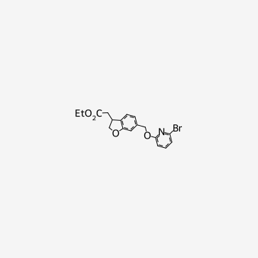 CCOC(=O)CC1COc2cc(COc3cccc(Br)n3)ccc21